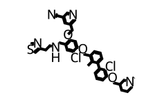 Cc1c(COc2cc(OCc3cncc(C#N)c3)c(CNCCc3cscn3)cc2Cl)cccc1-c1cccc(OCC2CCCN(C)C2)c1Cl